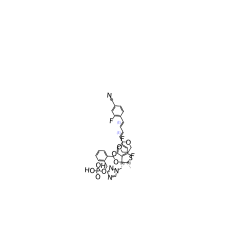 C[C@@H](S[C@H]1CO[C@H](/C=C/C=C/c2ccc(C#N)cc2F)OC1)[C@@](Cn1cncn1)(OC(=O)c1ccccc1COP(=O)(O)O)c1ccc(F)cc1F